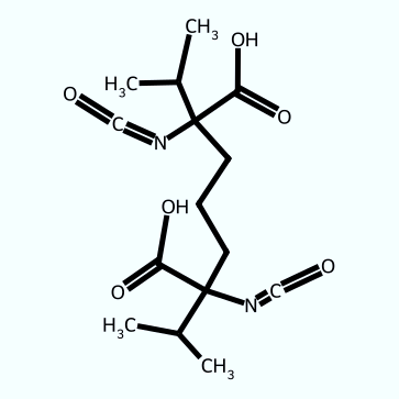 CC(C)C(CCCC(N=C=O)(C(=O)O)C(C)C)(N=C=O)C(=O)O